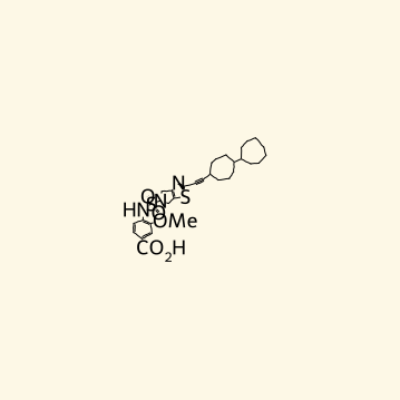 COc1cc(C(=O)O)ccc1NS(=O)(=O)N1Cc2nc(C#CC3CCCC(C4CCCCCCC4)CCC3)sc2C1